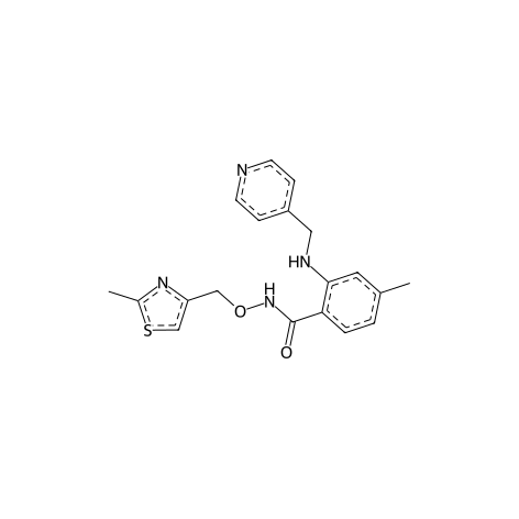 Cc1ccc(C(=O)NOCc2csc(C)n2)c(NCc2ccncc2)c1